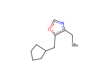 CC(C)(C)Cc1ncoc1CC1CCCC1